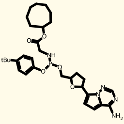 CC(C)(C)c1ccc(OP(NCC(=O)OC2CCCCCCC2)OCC2CCC(c3ccc4c(N)ncnn34)O2)cc1